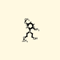 COCCN(CCO)c1nc(OC)ccc1N